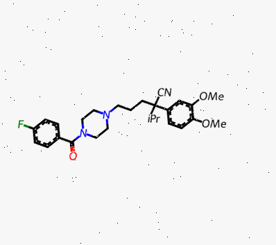 COc1ccc(C(C#N)(CCCN2CCN(C(=O)c3ccc(F)cc3)CC2)C(C)C)cc1OC